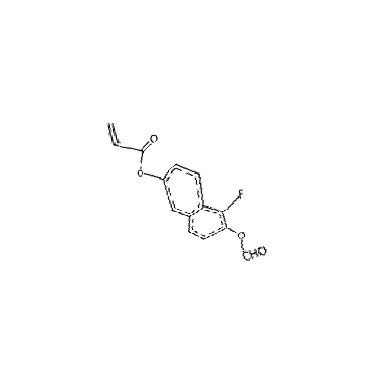 C=CC(=O)Oc1ccc2c(F)c(OC=O)ccc2c1